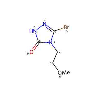 COCCn1c(Br)n[nH]c1=O